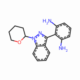 Nc1cccc(N)c1-c1nn(C2CCCCO2)c2ccccc12